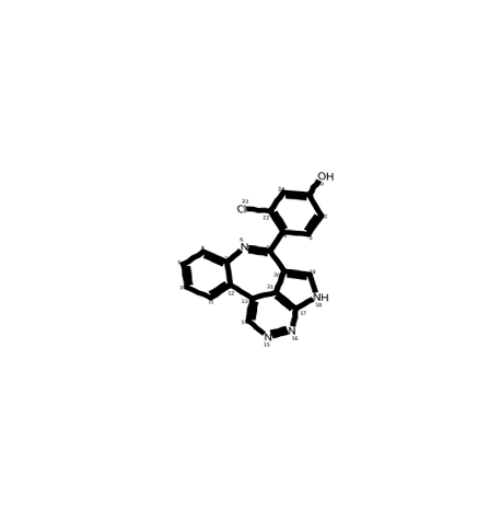 Oc1ccc(C2=Nc3ccccc3-c3cnnc4[nH]cc2c34)c(Cl)c1